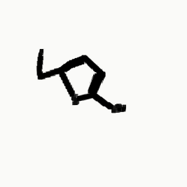 CC(C)(C)c1ccc(CI)s1